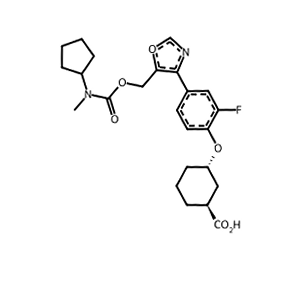 CN(C(=O)OCc1ocnc1-c1ccc(O[C@H]2CCC[C@H](C(=O)O)C2)c(F)c1)C1CCCC1